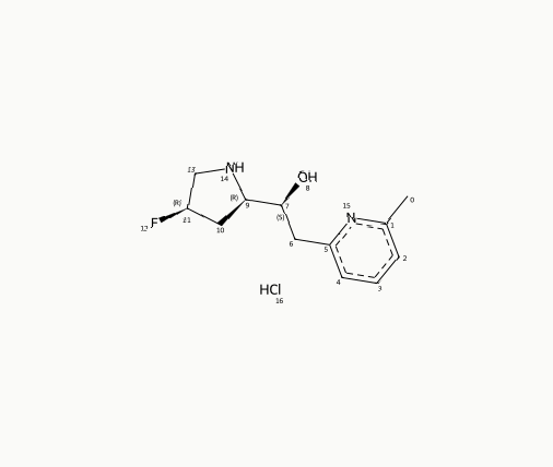 Cc1cccc(C[C@H](O)[C@H]2C[C@@H](F)CN2)n1.Cl